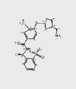 CCS(=O)(=O)c1ccccc1C(Cl)NC(=O)c1ccc(CN2CC[C@@H](CN)C2)c(C(F)(F)F)c1